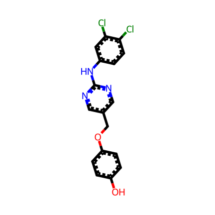 Oc1ccc(OCc2cnc(Nc3ccc(Cl)c(Cl)c3)nc2)cc1